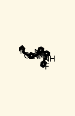 Fc1cccc(CNc2cccc(-c3cccc4nc(Nc5ccc(OCCN6CCCC6)cc5)nn34)c2)c1